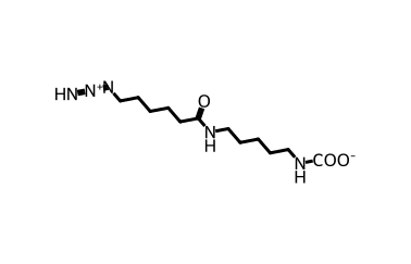 N=[N+]=NCCCCCC(=O)NCCCCCNC(=O)[O-]